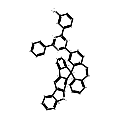 Cc1cccc(-c2nc(-c3ccccc3)nc(-c3ccc4c(c3)C3(c5ccccc5C=C4)c4ccccc4-c4cc5c(cc43)sc3ccccc35)n2)c1